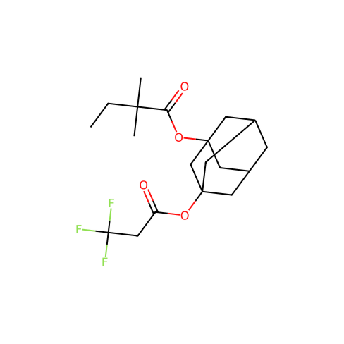 CCC(C)(C)C(=O)OC12CC3CC(CC(OC(=O)CC(F)(F)F)(C3)C1)C2